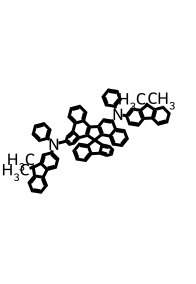 CC1(C)C2=C(C=CCC2)c2ccc(N(c3ccccc3)c3cc4c(c5ccccc35)C3(c5ccccc5-c5ccccc53)c3c-4c4ccccc4c4cc(N(c5ccccc5)c5ccc6c(c5)C(C)(C)c5ccccc5-6)ccc34)cc21